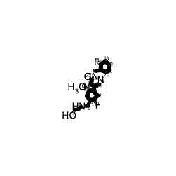 Cn1c2cc(CNCCO)c(F)cc2c2cnn(Cc3ccccc3F)c(=O)c21